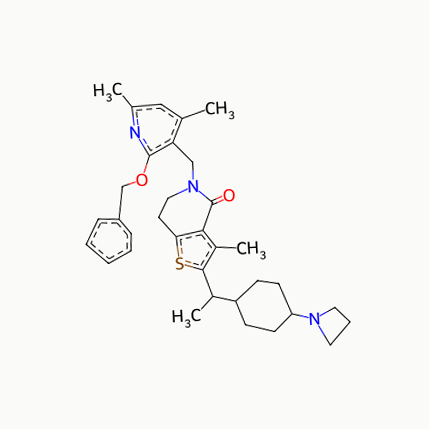 Cc1cc(C)c(CN2CCc3sc(C(C)C4CCC(N5CCC5)CC4)c(C)c3C2=O)c(OCc2ccccc2)n1